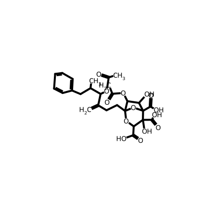 C=C(CCC12OC(C(=O)O)C(O)(C(=O)O)C(C(=O)O)(O1)C(O)C2OC(C)=O)C(OC(C)=O)C(C)Cc1ccccc1